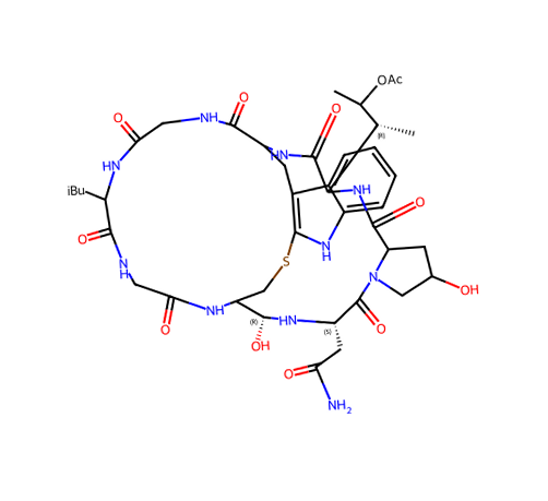 CCC(C)C1NC(=O)CNC(=O)C2Cc3c([nH]c4ccccc34)SCC(NC(=O)CNC1=O)[C@@H](O)N[C@@H](CC(N)=O)C(=O)N1CC(O)CC1C(=O)NC([C@@H](C)C(C)OC(C)=O)C(=O)N2